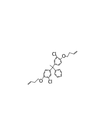 C=CCCOc1ccc(C(C)(c2ccccc2)c2ccc(OCCC=C)c(Cl)c2)cc1Cl